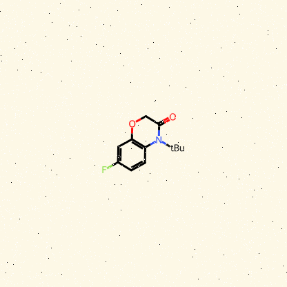 CC(C)(C)N1C(=O)COc2cc(F)ccc21